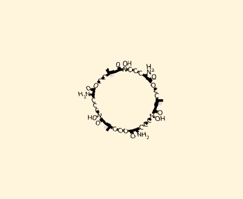 C/C1=C/C(=O)N(O)CCCC(N)C(=O)OCC/C(C)=C/C(=O)N(O)CCCC(N)C(=O)OCC/C(C)=C\C(=O)N(O)CCCC(N)C(=O)OCC1